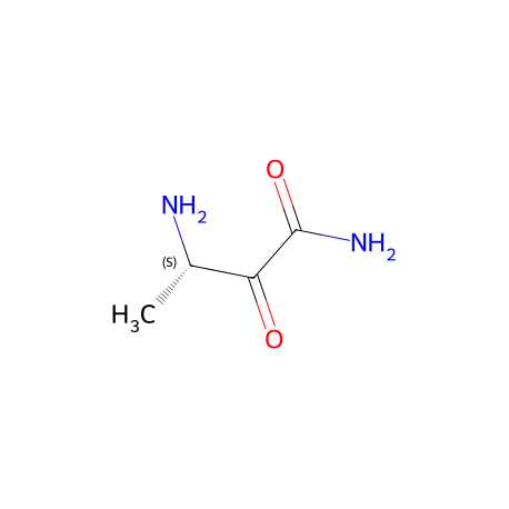 C[C@H](N)C(=O)C(N)=O